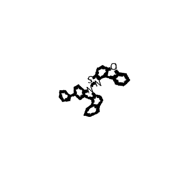 c1ccc(-c2ccc3c(c2)c2c4ccccc4ccc2n3-c2nc3c(ccc4oc5ccccc5c43)s2)cc1